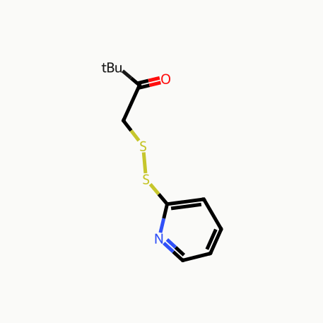 CC(C)(C)C(=O)CSSc1ccccn1